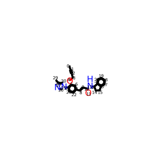 CC#CCOc1cc(C=CC(=O)NC2CCc3ccccc32)ccc1-n1cnc(C)c1